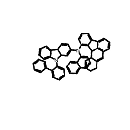 C1=CC2C(=Cc3cccc4c3C2c2c-4cccc2N(C2=CC3C(C=C2)c2ccccc2N3c2ccccc2-c2ccccc2)c2cccc3ccccc23)CC1